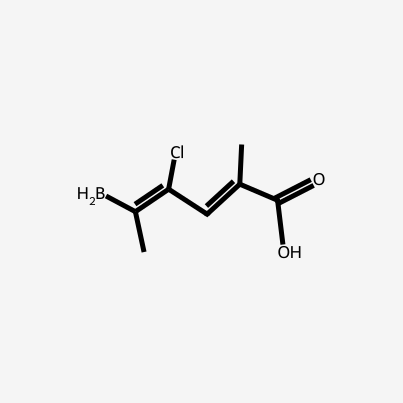 B/C(C)=C(Cl)/C=C(\C)C(=O)O